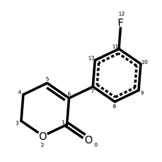 O=C1OCCC=C1c1cccc(F)c1